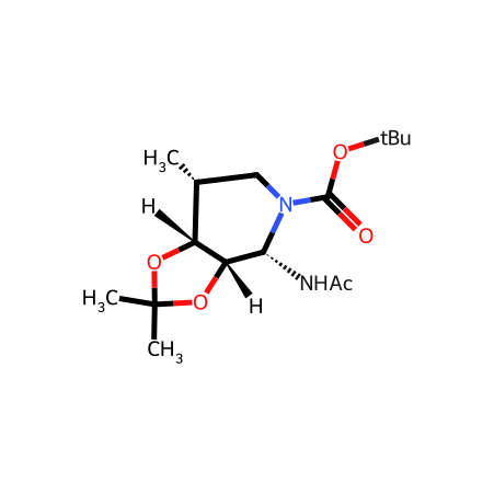 CC(=O)N[C@@H]1[C@@H]2OC(C)(C)O[C@@H]2[C@H](C)CN1C(=O)OC(C)(C)C